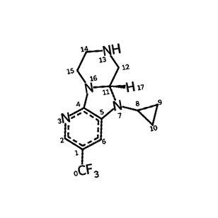 FC(F)(F)c1cnc2c(c1)N(C1CC1)[C@H]1CNCCN21